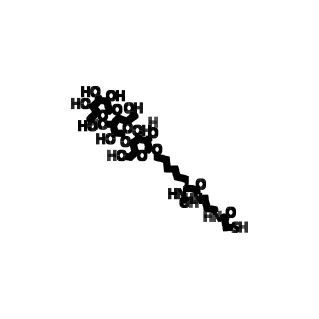 O=C(CS)NCCCNC(=O)[C@H](CCCCCCO[C@@H]1OC(CO)[C@@H](O[C@@H]2OC(CO)[C@H](O[C@H]3OC(CO)[C@H](O)C(O)C3O)C(O)C2O)C(O)C1O)NO